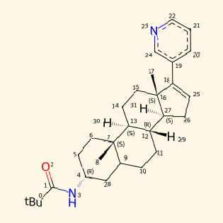 CC(C)(C)C(=O)N[C@@H]1CC[C@@]2(C)C(CC[C@@H]3[C@@H]2CC[C@]2(C)C(c4cccnc4)=CC[C@@H]32)C1